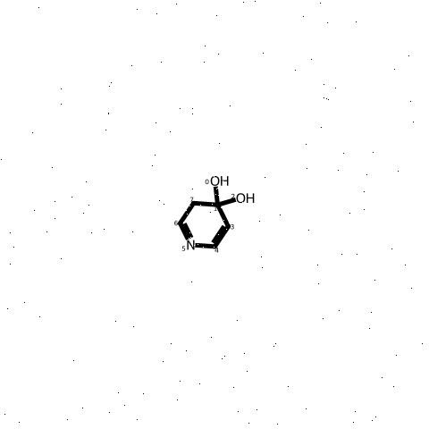 OC1(O)C=CN=CC1